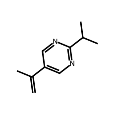 C=C(C)c1cnc(C(C)C)nc1